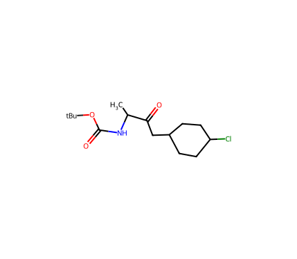 CC(NC(=O)OC(C)(C)C)C(=O)CC1CCC(Cl)CC1